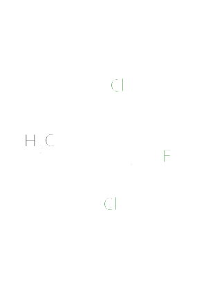 CC(Cl)[C](F)Cl